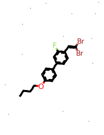 CCCCOc1ccc(-c2ccc(C=C(Br)Br)c(F)c2)cc1